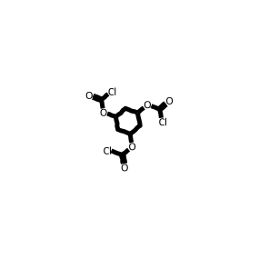 O=C(Cl)OC1CC(OC(=O)Cl)CC(OC(=O)Cl)C1